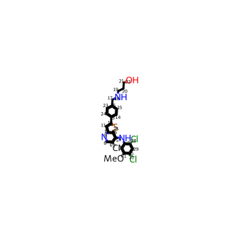 COc1cc(Nc2c(C#N)cnc3cc(-c4ccc(CNCCCO)cc4)sc23)c(Cl)cc1Cl